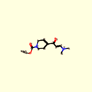 CCCCOC(=O)N1CCC(C(=O)C=CN(C)C)CC1